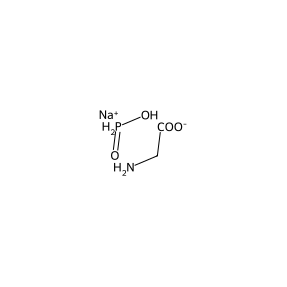 NCC(=O)[O-].O=[PH2]O.[Na+]